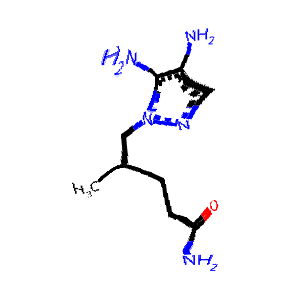 CC(CCC(N)=O)Cn1ncc(N)c1N